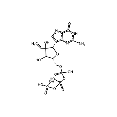 C=CC1(O)C(O)[C@@H](COP(=O)(O)OP(=O)(O)OP(=O)(O)O)O[C@H]1n1cnc2c(=O)[nH]c(N)nc21